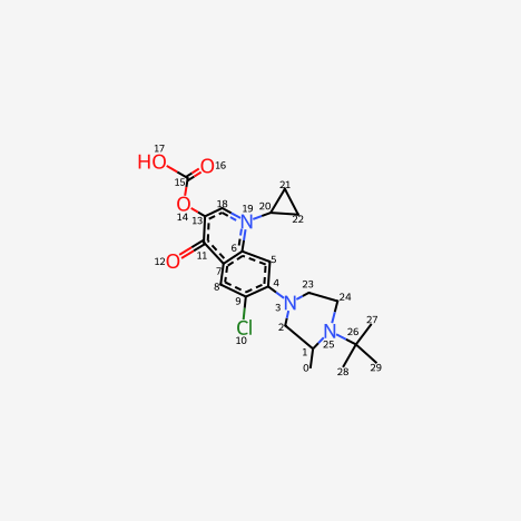 CC1CN(c2cc3c(cc2Cl)c(=O)c(OC(=O)O)cn3C2CC2)CCN1C(C)(C)C